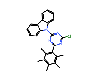 Cc1c(C)c(C)c(-c2nc(Cl)nc(-n3c4ccccc4c4ccccc43)n2)c(C)c1C